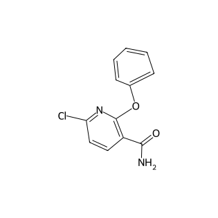 NC(=O)c1ccc(Cl)nc1Oc1ccccc1